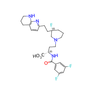 O=C(N[C@@H](CCN1CCC[C@](F)(CCc2ccc3c(n2)NCCC3)C1)C(=O)O)c1cc(F)cc(F)c1